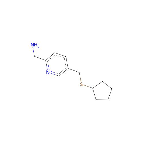 NCc1ccc(CSC2CCCC2)cn1